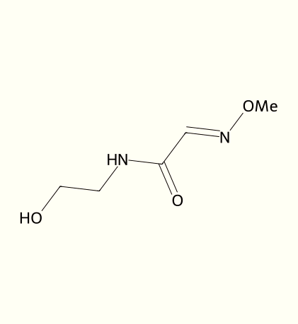 CON=CC(=O)NCCO